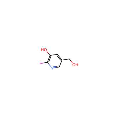 OCc1cnc(I)c(O)c1